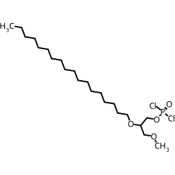 CCCCCCCCCCCCCCCCCCOC(COC)COP(=O)(Cl)Cl